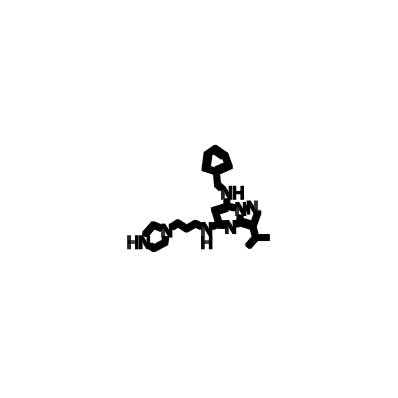 CC(C)c1cnn2c(NCc3ccccc3)cc(NCCCN3CCNCC3)nc12